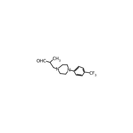 CC(C=O)CN1CCN(c2ccc(C(F)(F)F)cc2)CC1